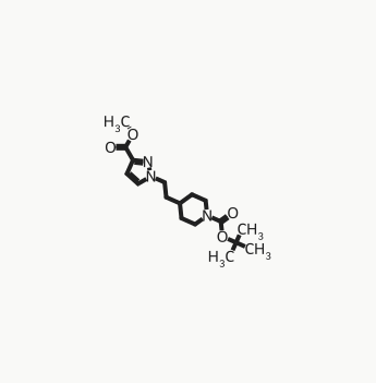 COC(=O)c1ccn(CCC2CCN(C(=O)OC(C)(C)C)CC2)n1